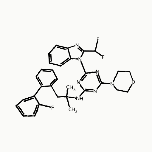 CC(C)(Cc1ccccc1-c1ccccc1F)Nc1nc(N2CCOCC2)nc(-n2c(C(F)F)nc3ccccc32)n1